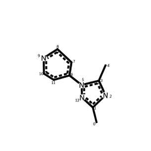 Cc1nc(C)n(-c2ccncc2)n1